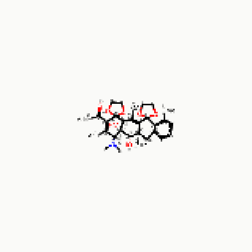 COc1cccc2c1C1(OCCO1)C1=C(OC(C)=O)[C@@]3(O)[C@@H]([C@@H](O)[C@@H]1[C@H]2C)[C@H](N(C)C)C(OC(C)=O)=C(C(=O)NC(C)=O)C31OCCO1